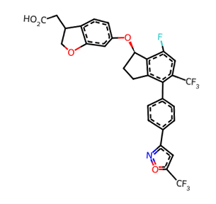 O=C(O)CC1COc2cc(O[C@@H]3CCc4c(-c5ccc(-c6cc(C(F)(F)F)on6)cc5)c(C(F)(F)F)cc(F)c43)ccc21